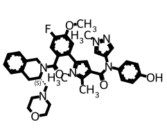 COc1cc(-c2cc(C(=O)N(c3ccc(O)cc3)c3cnn(C)c3)c(C)n2C)c(C(=O)N2Cc3ccccc3C[C@H]2CN2CCOCC2)cc1F